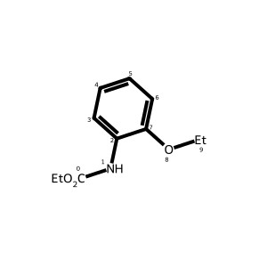 CCOC(=O)Nc1ccccc1OCC